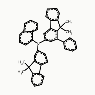 CC1(C)c2ccccc2-c2ccc(N(c3cc(-c4ccccc4)c4c(c3)-c3ccccc3C4(C)C)c3cccc4ccccc34)cc21